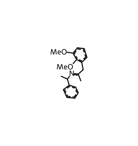 COc1cccc(CC(C)=NC(C)c2ccccc2)c1OC